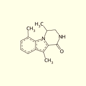 Cc1c2n(c3c(C)cccc13)C(C)CNC2=O